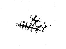 O=C(OI(OC(=O)C(F)(F)F)C(F)(F)C(F)(F)C(F)(F)C(F)(F)C(F)(F)C(F)(F)F)C(F)(F)F